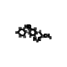 CC(C)Cc1ccc(C2CCCCC2)c(O)c1